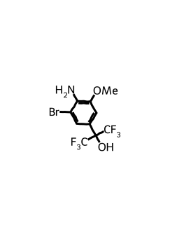 COc1cc(C(O)(C(F)(F)F)C(F)(F)F)cc(Br)c1N